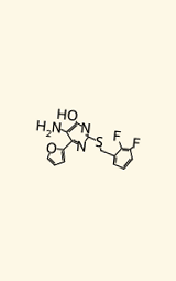 Nc1c(O)nc(SCc2cccc(F)c2F)nc1-c1ccco1